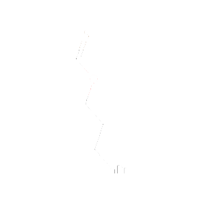 [CH2]CCCCCOC=S